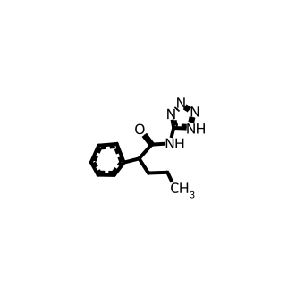 CCCC(C(=O)Nc1nnn[nH]1)c1ccccc1